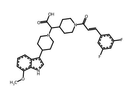 COc1cccc2c(C3CCN(C(C(=O)O)C4CCN(C(=O)/C=C/c5cc(F)cc(F)c5)CC4)CC3)c[nH]c12